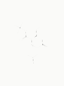 CC(C)C[C@H](N[C@H](CCO)C(=O)OC(C)(C)C)C(=O)O